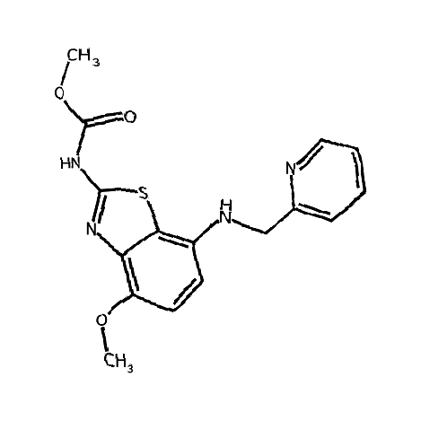 COC(=O)Nc1nc2c(OC)ccc(NCc3ccccn3)c2s1